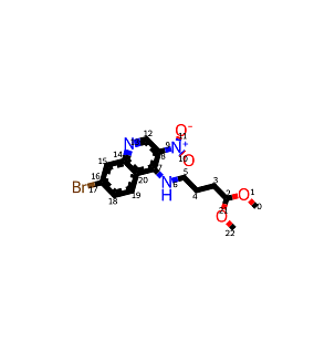 COC(CCCNc1c([N+](=O)[O-])cnc2cc(Br)ccc12)OC